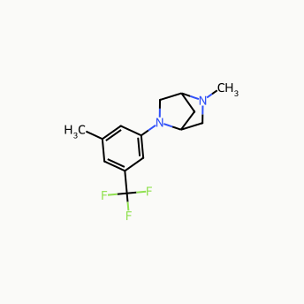 Cc1cc(N2CC3CC2CN3C)cc(C(F)(F)F)c1